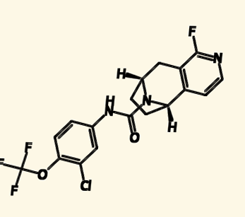 O=C(Nc1ccc(OC(F)(F)F)c(Cl)c1)N1[C@@H]2CC[C@H]1c1ccnc(F)c1C2